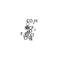 O=C(CN(CC(F)(F)F)C(=O)c1cnn(C2CCC(C(=O)O)CC2)c1C(F)(F)F)c1c(Cl)cncc1Cl